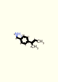 CC=C(C)c1ccc(CN)cc1